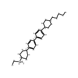 CCCCCC1CCC(c2ccc(-c3ccc(C4CCC([SiH2]CC)CC4)cc3)cc2)CC1